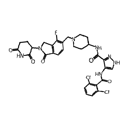 O=C1CCC(N2Cc3c(ccc(CN4CCC(NC(=O)c5n[nH]cc5NC(=O)c5c(Cl)cccc5Cl)CC4)c3F)C2=O)C(=O)N1